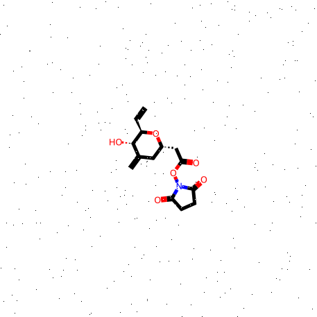 C=C[C@H]1O[C@H](CC(=O)ON2C(=O)CCC2=O)CC(=C)[C@@H]1O